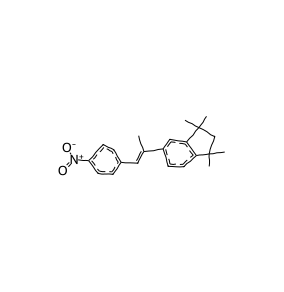 C/C(=C\c1ccc([N+](=O)[O-])cc1)c1ccc2c(c1)C(C)(C)CC2(C)C